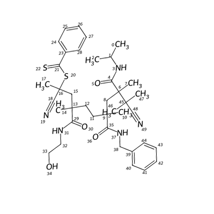 CC(C)NC(=O)C(C)(CC(C)(CCC(C)(CC(C)(C#N)SC(=S)c1ccccc1)C(=O)NCCO)C(=O)NCc1ccccc1)C(C)(C)C#N